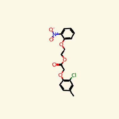 Cc1ccc(OCC(=O)OCCOc2ccccc2[N+](=O)[O-])c(Cl)c1